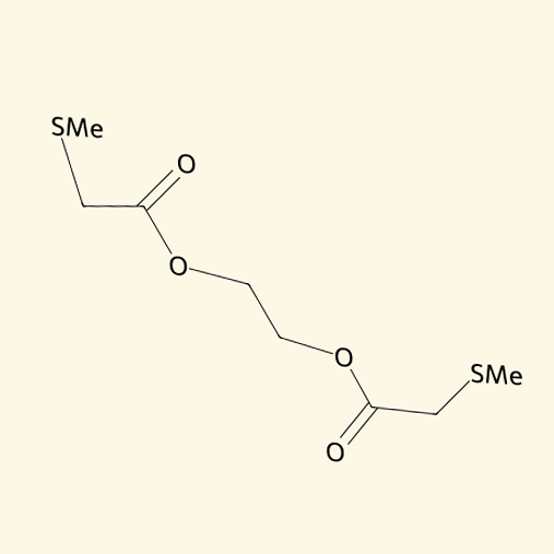 CSCC(=O)OCCOC(=O)CSC